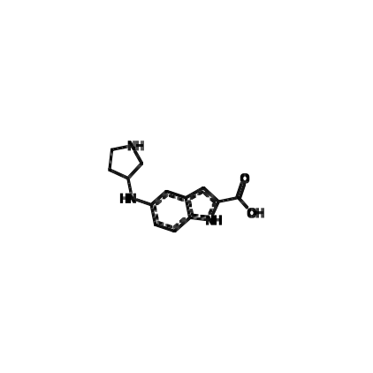 O=C(O)c1cc2cc(NC3CCNC3)ccc2[nH]1